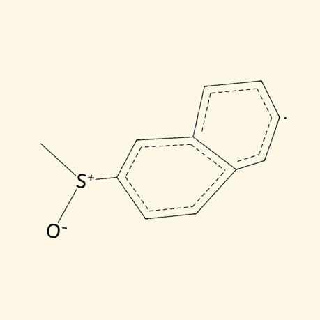 C[S+]([O-])c1ccc2c[c]ccc2c1